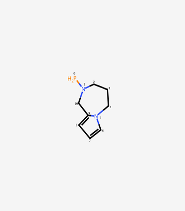 PN1CCCn2cccc2C1